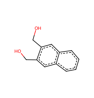 OCc1cc2ccccc2cc1CO